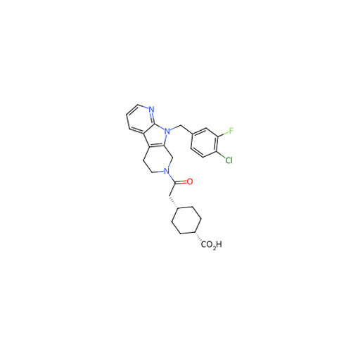 O=C(C[C@H]1CC[C@@H](C(=O)O)CC1)N1CCc2c(n(Cc3ccc(Cl)c(F)c3)c3ncccc23)C1